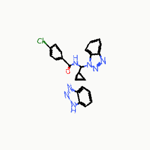 O=C(NC(C1CC1)n1nnc2ccccc21)c1ccc(Cl)cc1.c1ccc2[nH]nnc2c1